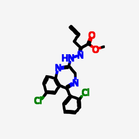 C=CC/C(=N\NC1=Nc2ccc(Cl)cc2C(c2ccccc2Cl)=NC1)C(=O)OC